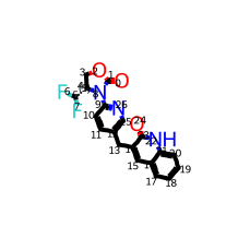 O=C1OC[C@@H](C(F)F)N1c1ccc(Cc2cc3ccccc3[nH]c2=O)cn1